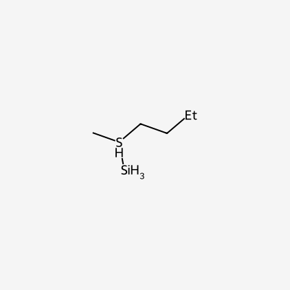 CCCC[SH](C)[SiH3]